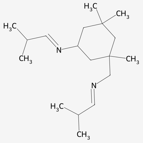 CC(C)C=NCC1(C)CC(N=CC(C)C)CC(C)(C)C1